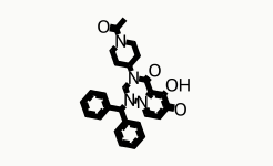 CC(=O)N1CCC(N2CN(C(c3ccccc3)c3ccccc3)n3ccc(=O)c(O)c3C2=O)CC1